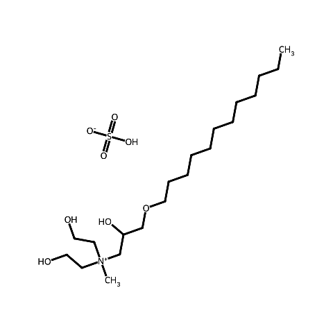 CCCCCCCCCCCCOCC(O)C[N+](C)(CCO)CCO.O=S(=O)([O-])O